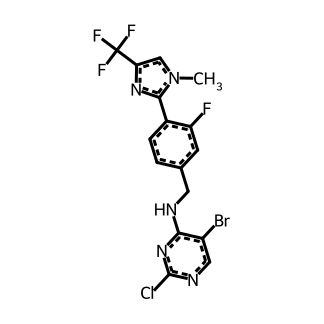 Cn1cc(C(F)(F)F)nc1-c1ccc(CNc2nc(Cl)ncc2Br)cc1F